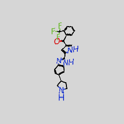 O=C(c1c[nH]c(-c2nc3ccc([C@H]4CCNC4)cc3[nH]2)c1)c1ccccc1C(F)(F)F